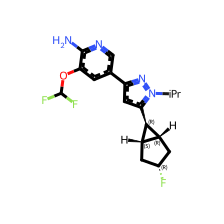 CC(C)n1nc(-c2cnc(N)c(OC(F)F)c2)cc1[C@H]1[C@@H]2C[C@H](F)C[C@@H]21